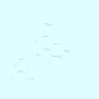 CCc1ccc(CN/C(C)=C2\C(=O)NC(=O)CC2c2ccccc2)cc1O